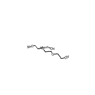 CCCCCO.COCCOCCOCCO